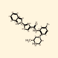 C[C@H]1CN(c2ccc(F)cc2NC(=O)c2csc(-n3cc4ccccc4n3)n2)CCN1